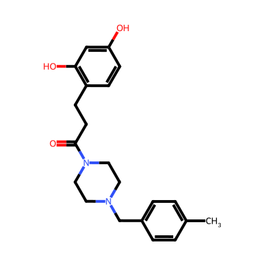 Cc1ccc(CN2CCN(C(=O)CCc3ccc(O)cc3O)CC2)cc1